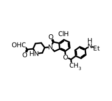 CCNc1ccc(C(C)Oc2cccc3c2CN(C2CCC(C(=O)C=O)NC2)C3=O)cc1.Cl